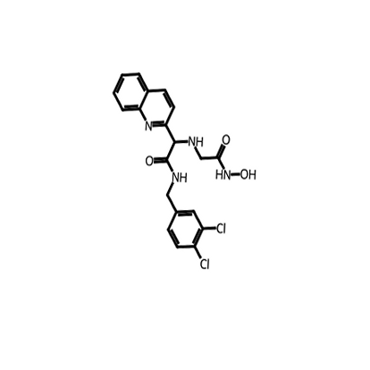 O=C(CNC(C(=O)NCc1ccc(Cl)c(Cl)c1)c1ccc2ccccc2n1)NO